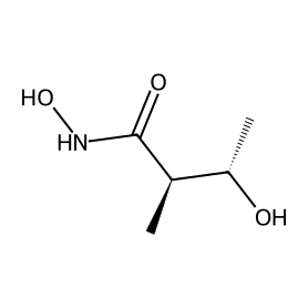 C[C@H](O)[C@@H](C)C(=O)NO